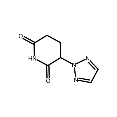 O=C1CCC(n2nccn2)C(=O)N1